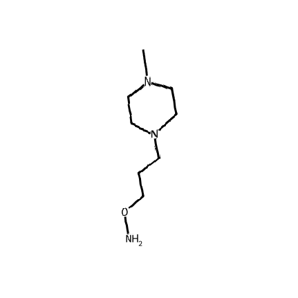 CN1CCN(CCCON)CC1